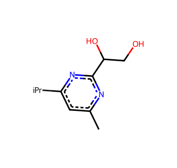 Cc1cc(C(C)C)nc(C(O)CO)n1